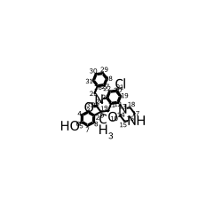 C[C@@]1(c2ccc(O)cc2)C(=O)c2c(N3CCNCC3)cc(Cl)cc2N(Cc2ccccc2)C1=O